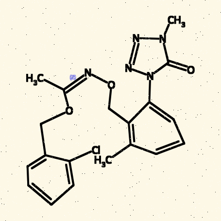 C/C(=N/OCc1c(C)cccc1-n1nnn(C)c1=O)OCc1ccccc1Cl